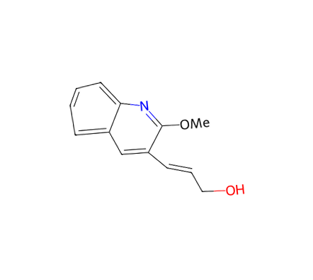 COc1nc2ccccc2cc1/C=C/CO